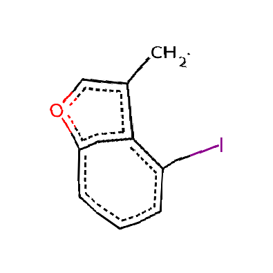 [CH2]c1coc2cccc(I)c12